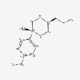 CCC[C@H]1CC[C@](O)(c2ccc(CC)cc2)CC1